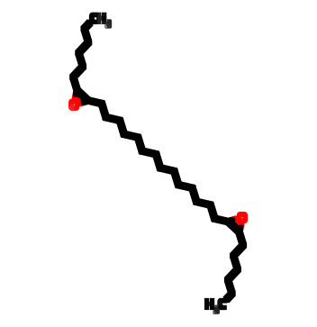 CCCCCCC1OC1CCCCCCCCCCCCCCC1OC1CCCCCC